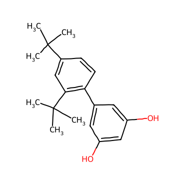 CC(C)(C)c1ccc(-c2cc(O)cc(O)c2)c(C(C)(C)C)c1